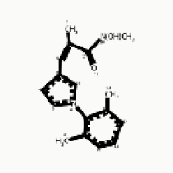 CC(=Cc1ccn(-c2c(C)cccc2C)c1)C(=O)N(C)O